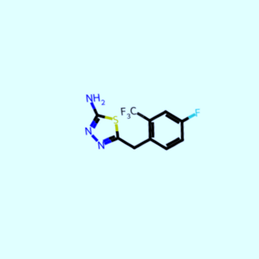 Nc1nnc(Cc2ccc(F)cc2C(F)(F)F)s1